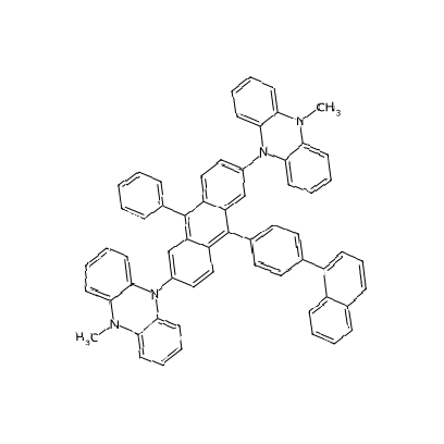 CN1c2ccccc2N(c2ccc3c(-c4ccc(-c5cccc6ccccc56)cc4)c4cc(N5c6ccccc6N(C)c6ccccc65)ccc4c(-c4ccccc4)c3c2)c2ccccc21